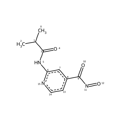 CC(C)C(=O)Nc1cc(C(=O)N=O)ccn1